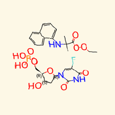 CCOOC(=O)C(C)(C)Nc1cccc2ccccc12.O=c1[nH]c(=O)n([C@H]2C[C@H](O)[C@@H](COP(=O)(O)O)O2)cc1F